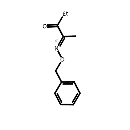 CCC(=O)/C(C)=N/OCc1ccccc1